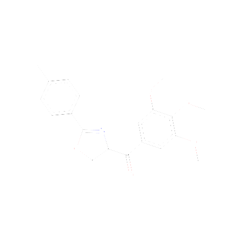 COc1cc(C(=O)C2COC(c3ccc(C)cc3)=N2)cc(OC)c1OC